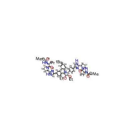 CCO[C@H]1[C@H](OCC)[C@H](c2ccc(-c3c[nH]c([C@@H]4CCCN4C(=O)[C@@H](NC(=O)OC)C(C)C)n3)cc2)N(c2ccc(C(C)(C)C)cc2)[C@H]1c1ccc(-c2c[nH]c([C@@H]3CCCN3C(=O)[C@@H](NC(=O)OC)C(C)C)n2)cc1